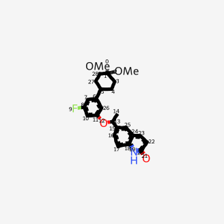 COC1(OC)CCC(c2cc(F)cc(OC(C)c3ccc4[nH]c(=O)ccc4c3)c2)CC1